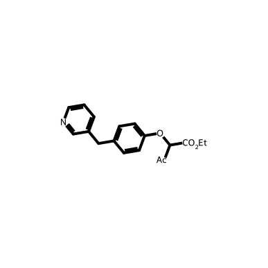 CCOC(=O)C(Oc1ccc(Cc2cccnc2)cc1)C(C)=O